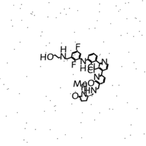 COc1nc(-c2ccnc(-c3cccc(Nc4cc(F)cc(CNCCO)c4F)c3Cl)c2Cl)ccc1CNC[C@H]1CCC(=O)N1